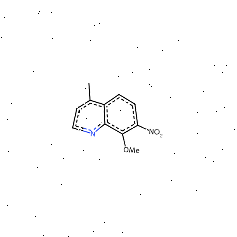 COc1c([N+](=O)[O-])ccc2c(C)ccnc12